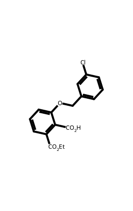 CCOC(=O)c1cccc(OCc2cccc(Cl)c2)c1C(=O)O